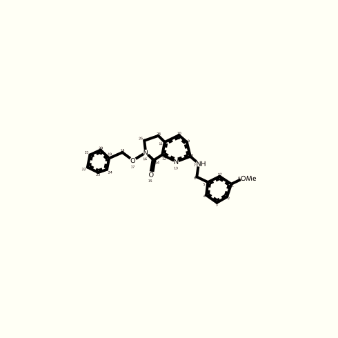 COc1cccc(CNc2ccc3c(n2)C(=O)N(OCc2ccccc2)CC3)c1